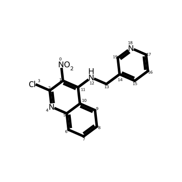 O=[N+]([O-])c1c(Cl)nc2ccccc2c1NCc1cccnc1